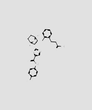 O=C(O)CCc1ccccc1C[C@@H]1[C@H](c2nc(C(=O)Nc3ccc(Cl)cc3)co2)[C@H]2CC[C@@H]1O2